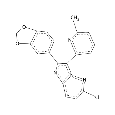 Cc1cccc(-c2c(-c3ccc4c(c3)OCO4)nc3ccc(Cl)nn23)n1